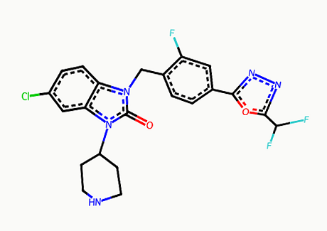 O=c1n(Cc2ccc(-c3nnc(C(F)F)o3)cc2F)c2ccc(Cl)cc2n1C1CCNCC1